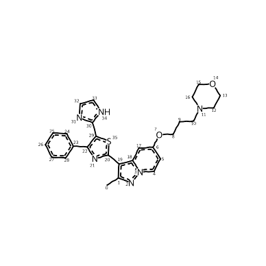 Cc1nn2ccc(OCCCN3CCOCC3)cc2c1-c1nc(-c2ccccc2)c(-c2ncc[nH]2)s1